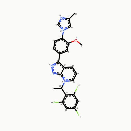 COc1cc(-c2nnc3n(C(C)c4c(F)cc(F)cc4F)cccc2-3)ccc1-n1cnc(C)c1